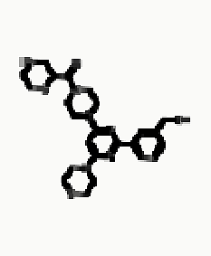 O=C(C1CNCCS1)N1CCN(c2cc(N3CCOCC3)nc(-c3cccc(CO)c3)n2)CC1